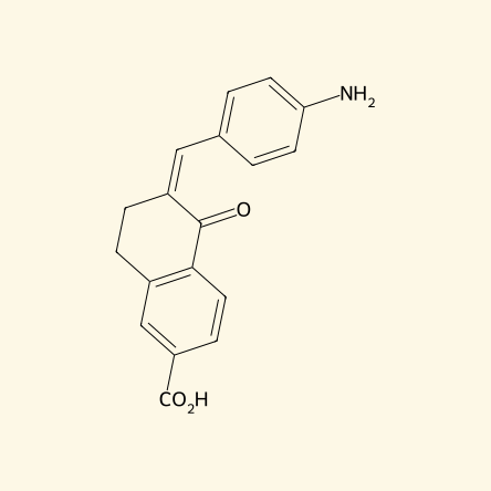 Nc1ccc(C=C2CCc3cc(C(=O)O)ccc3C2=O)cc1